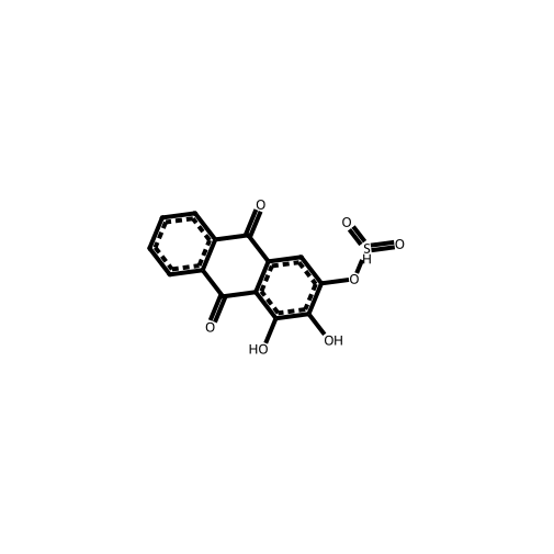 O=C1c2ccccc2C(=O)c2c1cc(O[SH](=O)=O)c(O)c2O